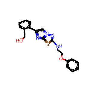 OCc1ccccc1-c1cn2nc(NCCOc3ccccc3)sc2n1